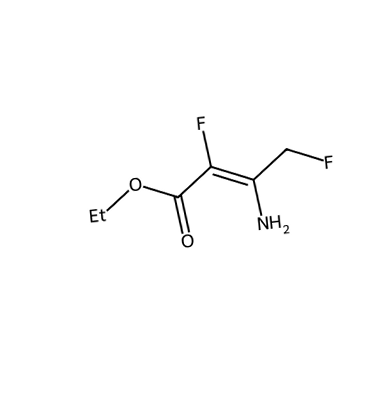 CCOC(=O)C(F)=C(N)CF